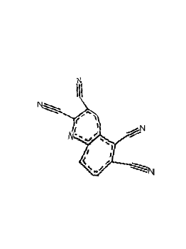 N#Cc1cc2c(C#N)c(C#N)ccc2nc1C#N